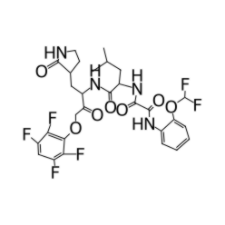 CC(C)CC(NC(=O)C(=O)Nc1ccccc1OC(F)F)C(=O)NC(CC1CCNC1=O)C(=O)COc1c(F)c(F)cc(F)c1F